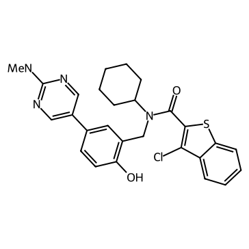 CNc1ncc(-c2ccc(O)c(CN(C(=O)c3sc4ccccc4c3Cl)C3CCCCC3)c2)cn1